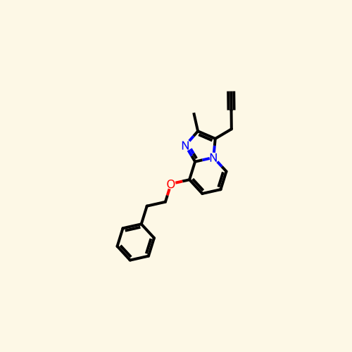 C#CCc1c(C)nc2c(OCCc3ccccc3)cccn12